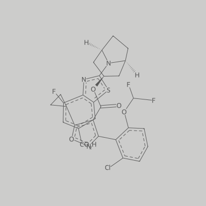 O=C(O)c1cc(F)c2nc(N3[C@@H]4CC[C@H]3C[C@@H](OC(=O)c3c(-c5c(Cl)cccc5OC(F)F)noc3C3CC3)C4)sc2c1